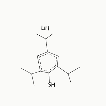 CC(C)c1cc(C(C)C)c(S)c(C(C)C)c1.[LiH]